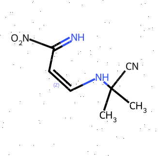 CC(C)(C#N)N/C=C\C(=N)[N+](=O)[O-]